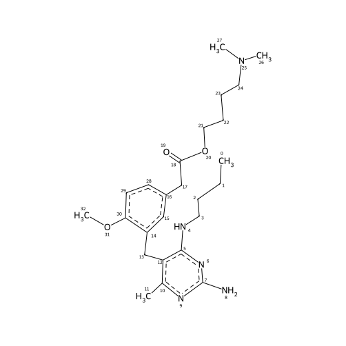 CCCCNc1nc(N)nc(C)c1Cc1cc(CC(=O)OCCCCN(C)C)ccc1OC